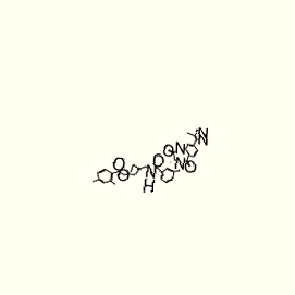 Cc1ccc(C(=O)OC2CC(CNC(=O)c3cccc(CN4C(=O)c5ccc(-c6c(C)cnn6C)cc5N(C)C(=O)[C@H]4C)c3)C2)c(C)c1